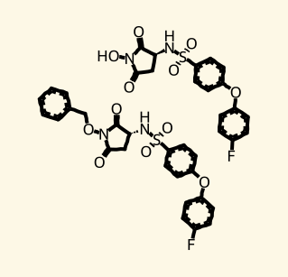 O=C1C[C@@H](NS(=O)(=O)c2ccc(Oc3ccc(F)cc3)cc2)C(=O)N1OCc1ccccc1.O=C1C[C@H](NS(=O)(=O)c2ccc(Oc3ccc(F)cc3)cc2)C(=O)N1O